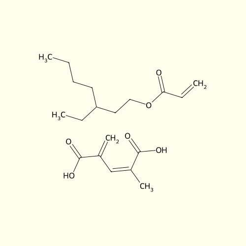 C=C(C=C(C)C(=O)O)C(=O)O.C=CC(=O)OCCC(CC)CCCC